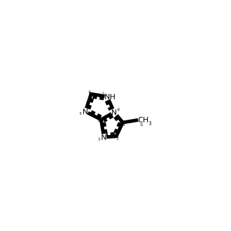 Cc1cnc2nc[nH]n12